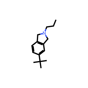 CCCN1Cc2ccc(C(C)(C)C)cc2C1